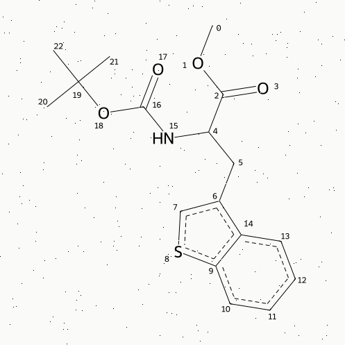 COC(=O)C(Cc1csc2ccccc12)NC(=O)OC(C)(C)C